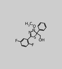 CON1N=C(c2cc(F)ccc2F)SC1(CO)c1ccccc1